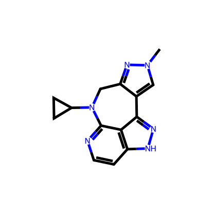 Cn1cc2c(n1)CN(C1CC1)c1nccc3[nH]nc-2c13